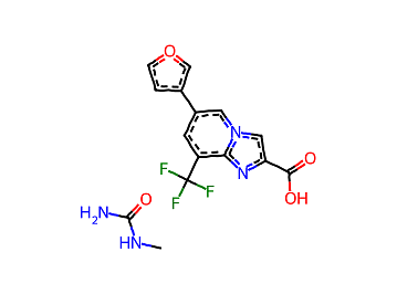 CNC(N)=O.O=C(O)c1cn2cc(-c3ccoc3)cc(C(F)(F)F)c2n1